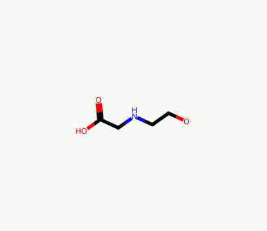 [O]CCNCC(=O)O